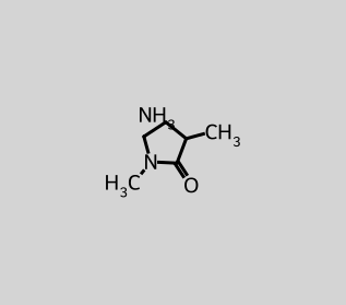 CC1CCN(C)C1=O.N